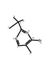 Cc1cnc(C(C)(C)C)nc1Br